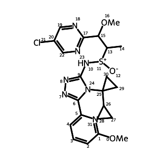 COc1cccc(-c2nnc(N[S+]([O-])C(C)C(OC)c3ncc(Cl)cn3)n2C2(C3CC3)CC2)n1